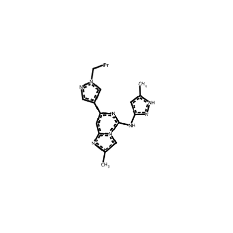 Cc1cn2c(Nc3cc(C)[nH]n3)nc(-c3cnn(CC(C)C)c3)cc2n1